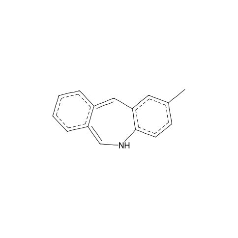 Cc1ccc2c(c1)C=c1ccccc1=CN2